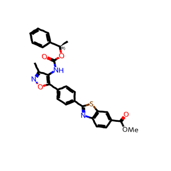 COC(=O)c1ccc2nc(-c3ccc(-c4onc(C)c4NC(=O)O[C@H](C)c4ccccc4)cc3)sc2c1